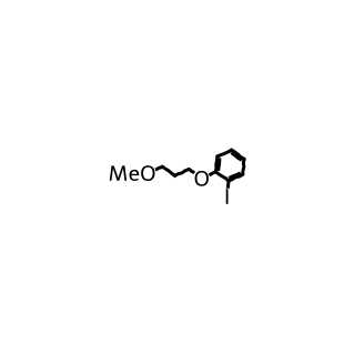 COCCCOc1ccccc1I